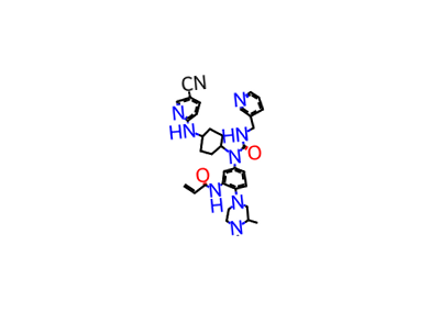 C=CC(=O)Nc1cc(N(C(=O)NCc2cccnc2)C2CCC(Nc3ccc(C#N)cn3)CC2)ccc1N1CCN(C)C(C)C1